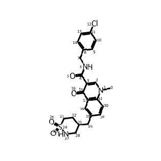 Cn1cc(C(=O)NCc2ccc(Cl)cc2)c(=O)c2cc(CC3CCS(=O)(=O)NC3)ccc21